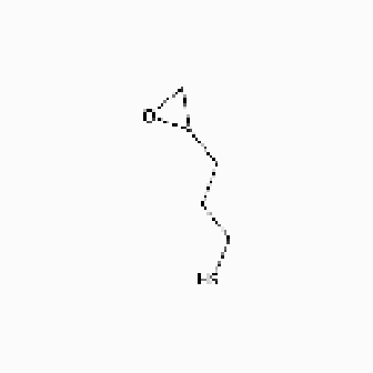 SCCCC1CO1